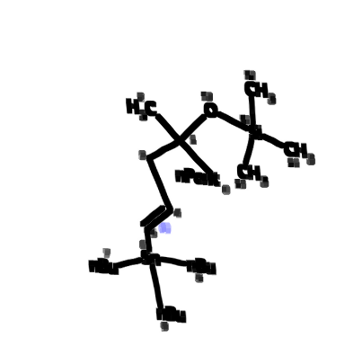 CCCCCC(C)(C/C=[CH]/[Sn]([CH2]CCC)([CH2]CCC)[CH2]CCC)O[Si](C)(C)C